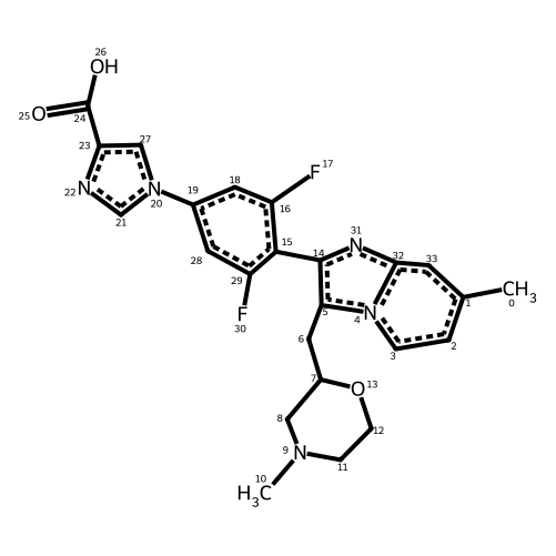 Cc1ccn2c(CC3CN(C)CCO3)c(-c3c(F)cc(-n4cnc(C(=O)O)c4)cc3F)nc2c1